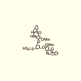 COc1cc2c(cc1OCc1cc(COc3cc4c(cc3OC)C(=O)N3c5ccccc5C[C@H]3CN4)cc(CSCC(C)(C)S)c1)N=CC1Cc3ccccc3N1C2=O